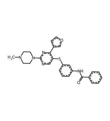 CN1CCN(c2ncc(Sc3cccc(NC(=O)c4ccccc4)c3)c(-c3ccoc3)n2)CC1